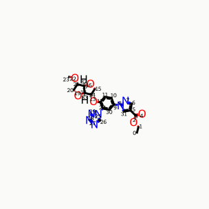 CCOC(=O)c1cnn(-c2ccc(O[C@H]3CO[C@H]4[C@@H]3OC[C@@H]4OC)c(-n3cnnn3)c2)c1